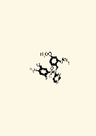 COc1ccc(CN(c2ccncn2)S(=O)(=O)c2cc(Cl)c(N)cc2F)c(OC)c1